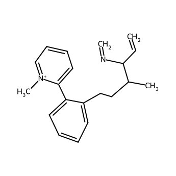 C=CC(N=C)C(C)CCc1ccccc1-c1cccc[n+]1C